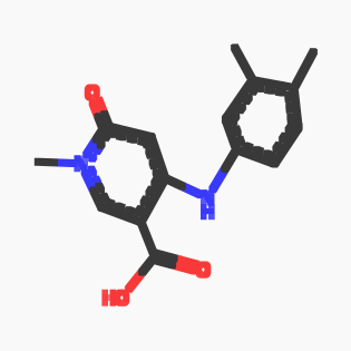 Cc1ccc(Nc2cc(=O)n(C)cc2C(=O)O)cc1C